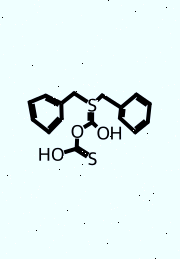 OC(=S)OC(O)=S(Cc1ccccc1)Cc1ccccc1